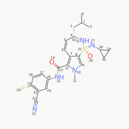 CC(C)C[C@H]1C=Cc2c(cn(C)c2C(=O)Nc2ccc(F)c(C#N)c2)S(=O)(=NC2CC2)N1